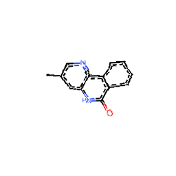 Cc1cnc2c(c1)[nH]c(=O)c1ccccc12